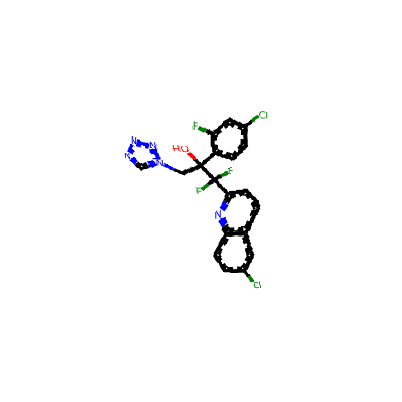 OC(Cn1cnnn1)(c1ccc(Cl)cc1F)C(F)(F)c1ccc2cc(Cl)ccc2n1